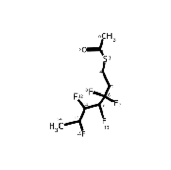 CC(=O)SCCC(F)(F)C(F)C(F)C(C)F